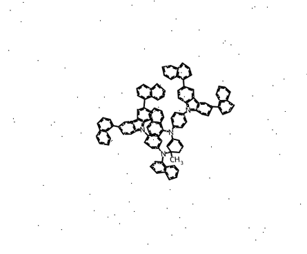 CC1(N(c2ccc(-n3c4ccc(-c5cccc6ccccc56)cc4c4cc(-c5cccc6ccccc56)ccc43)cc2)c2cccc3ccccc23)C=C(N(c2ccc(-n3c4ccc(-c5cccc6ccccc56)cc4c4cc(-c5cccc6ccccc56)ccc43)cc2)c2cccc3ccccc23)C=CC1